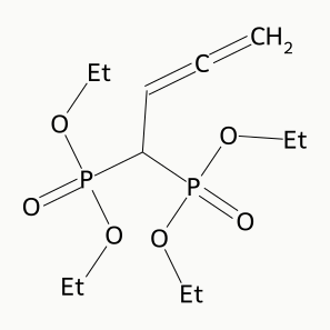 C=C=CC(P(=O)(OCC)OCC)P(=O)(OCC)OCC